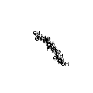 CCOC(=O)NC[C@H]1CN(c2cc(F)c(N3CCN(C(=O)CNC(=O)c4ccc(O)nc4)CC3)c(F)c2)C(=O)O1